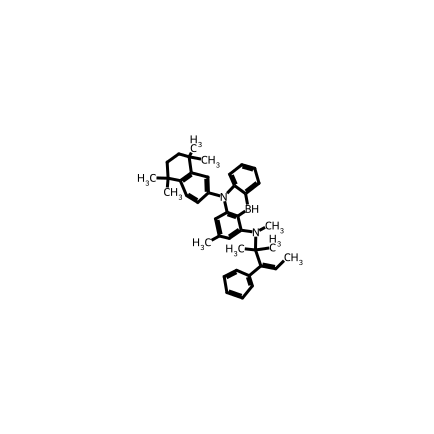 C/C=C(/c1ccccc1)C(C)(C)N(C)c1cc(C)cc2c1Bc1ccccc1N2c1ccc2c(c1)C(C)(C)CCC2(C)C